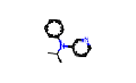 CC(C)N(c1ccccc1)c1cccnc1